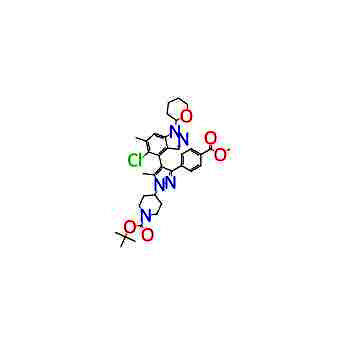 COC(=O)c1ccc(-c2nn(C3CCN(C(=O)OC(C)(C)C)CC3)c(C)c2-c2c(Cl)c(C)cc3c2cnn3C2CCCCO2)cc1